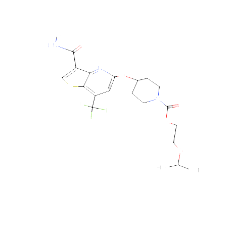 CNC(=O)c1csc2c(C(F)(F)F)cc(OC3CCN(C(=O)OCCOC(C)C)CC3)nc12